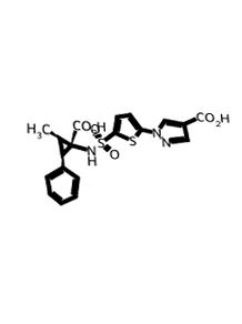 C[C@@H]1[C@H](c2ccccc2)[C@]1(NS(=O)(=O)c1ccc(-n2cc(C(=O)O)cn2)s1)C(=O)O